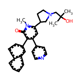 Cn1c(C2CCN(CC(C)(C)O)C2)cc(-c2ccncc2)c(-c2ccc3ccccc3c2)c1=O